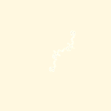 CC(C)(CCCCl)OCCCC(C)(C)OCCCCl